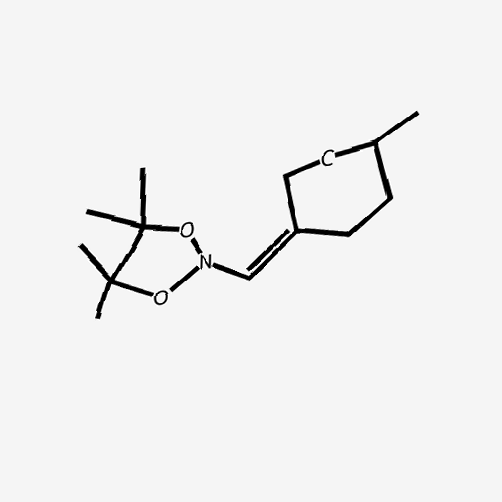 CC1CCC(=CN2OC(C)(C)C(C)(C)O2)CC1